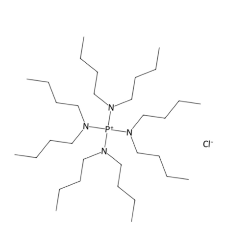 CCCCN(CCCC)[P+](N(CCCC)CCCC)(N(CCCC)CCCC)N(CCCC)CCCC.[Cl-]